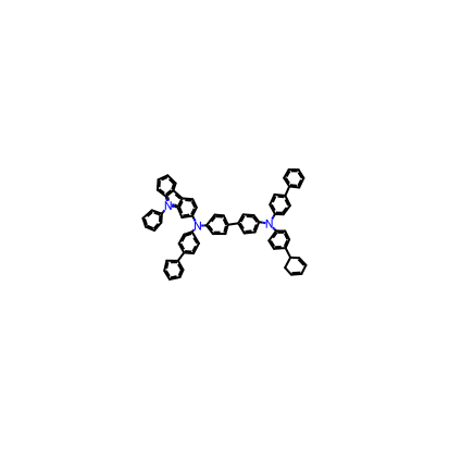 C1=CCC(c2ccc(N(c3ccc(-c4ccccc4)cc3)c3ccc(-c4ccc(N(c5ccc(-c6ccccc6)cc5)c5ccc6c7ccccc7n(-c7ccccc7)c6c5)cc4)cc3)cc2)C=C1